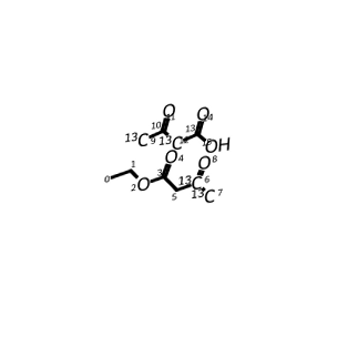 CCOC(=O)C[13C]([13CH3])=O.[13CH3]C(=O)[13CH2]C(=O)O